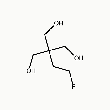 OCC(CO)(CO)CCF